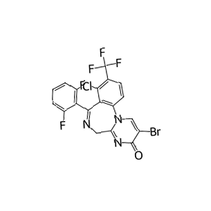 O=c1nc2n(cc1Br)-c1ccc(C(F)(F)F)c(Cl)c1C(c1c(F)cccc1F)=NC2